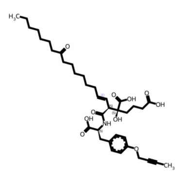 CC#CCOc1ccc(C[C@H](NC(=O)[C@@H](/C=C/CCCCCCC(=O)CCCCCCC)[C@@](O)(CCCC(=O)O)C(=O)O)C(=O)O)cc1